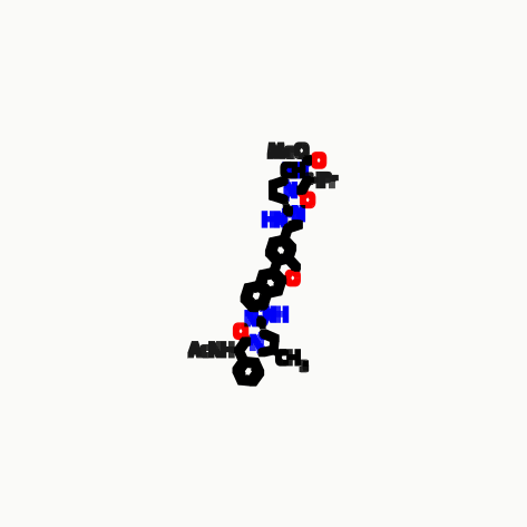 COC(=O)N[C@H](C(=O)N1[C@@H](C)CC[C@H]1c1ncc(-c2ccc3c(c2)COc2cc4c(ccc5nc([C@@H]6C[C@H](C)CN6C(=O)[C@H](NC(C)=O)c6ccccc6)[nH]c54)cc2-3)[nH]1)C(C)C